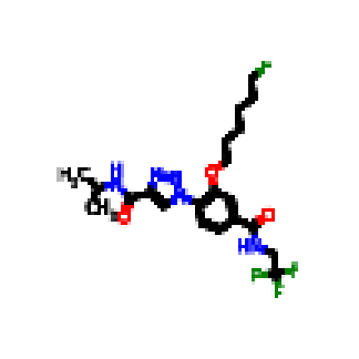 CC(C)NC(=O)c1cn(-c2ccc(C(=O)NCC(F)(F)F)cc2OCCCCCCF)nn1